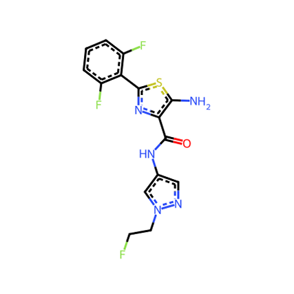 Nc1sc(-c2c(F)cccc2F)nc1C(=O)Nc1cnn(CCF)c1